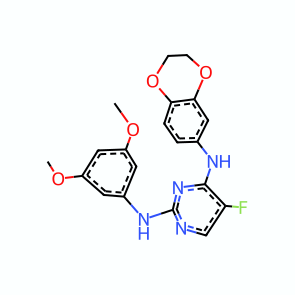 COc1cc(Nc2ncc(F)c(Nc3ccc4c(c3)OCCO4)n2)cc(OC)c1